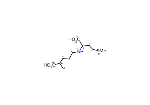 CSCCC(NCCCC(C)C(=O)O)C(=O)O